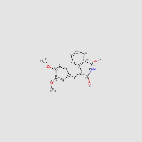 COc1ccc(/C=C2/C(=O)NC(=O)c3ccccc32)cc1OC